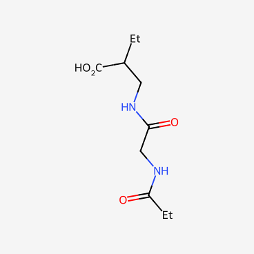 CCC(=O)NCC(=O)NCC(CC)C(=O)O